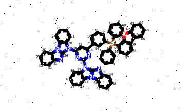 c1ccc(S(c2ccccc2)(c2cccc(-c3cc(-n4c5ccccc5n5c6ccccc6nc45)nc(-n4c5ccccc5n5c6ccccc6nc45)n3)c2)c2cccc3c2oc2ccccc23)cc1